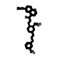 COc1ccc2nccc(C(F)CC[C@@H]3CCN(CCSc4cccc(C(F)(F)F)c4)C[C@@H]3C(=O)O)c2c1